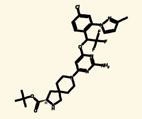 Cc1ccn(-c2cc(Cl)ccc2C(Oc2cc(N3CCC4(CC3)CN[C@H](C(=O)OC(C)(C)C)C4)nc(N)n2)C(F)(F)F)n1